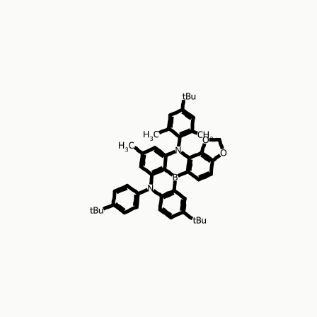 Cc1cc2c3c(c1)N(c1c(C)cc(C(C)(C)C)cc1C)c1c(ccc4c1OCO4)B3c1cc(C(C)(C)C)ccc1N2c1ccc(C(C)(C)C)cc1